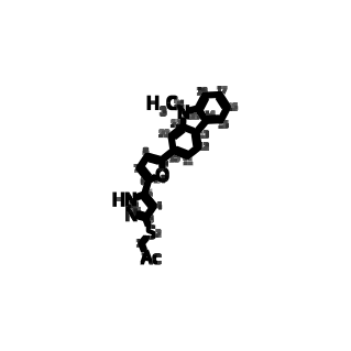 CC(=O)CSc1cc(-c2ccc(-c3ccc4c5ccccc5n(C)c4c3)o2)[nH]n1